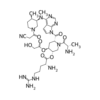 C[C@H](N)C(=O)N1C[C@H](OC(=O)[C@H](N)CCCNC(=N)N)[C@@H](OC(=O)CO)C[C@@H]1C(=O)n1ccc2c(N(C)[C@H]3CN(C(=O)CC#N)CC[C@H]3C)ncnc21